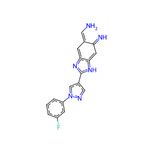 N=C1C=c2[nH]c(-c3cnn(-c4cccc(F)c4)c3)nc2=C/C1=C/N